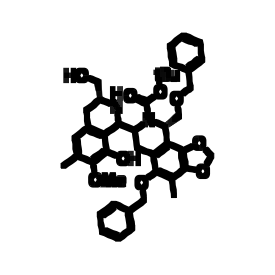 COc1c(C)cc2c(c1O)C(C1Cc3c(OCc4ccccc4)c(C)c4c(c3[C@H](COCc3ccccc3)N1C(=O)OC(C)(C)C)OCO4)N[C@H](CO)C2